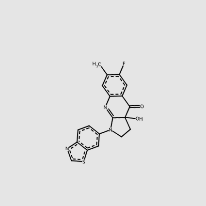 Cc1cc2c(cc1F)C(=O)C1(O)CCN(c3ccc4ncsc4c3)C1=N2